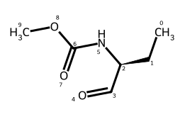 CC[C@@H](C=O)NC(=O)OC